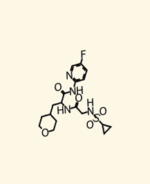 O=C(CNS(=O)(=O)C1CC1)NC(CC1CCOCC1)C(=O)Nc1ccc(F)cn1